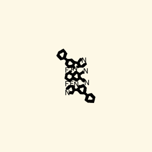 N#Cc1c(C#N)c(-n2c3ccncc3c3cc(-c4ccccc4)ccc32)c2c(c1-n1c3ccncc3c3cc(-c4ccccc4)ccc31)C(F)(F)CCC2(F)F